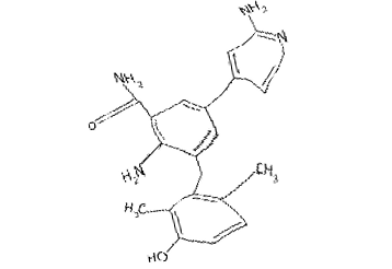 Cc1ccc(O)c(C)c1-c1cc(-c2ccnc(N)c2)cc(C(N)=O)c1N